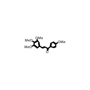 COc1ccc(C(=O)C=Cc2cc(OC)c(OC)c(OC)c2)cc1